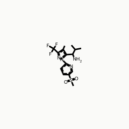 Cc1c(C(F)(F)F)nn(-c2ccc(S(C)(=O)=O)cn2)c1C(N)C(C)C